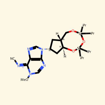 COn1cnc2c(ncn2[C@@H]2C[C@@H]3CO[Si](C(C)C)(C(C)C)O[Si](C(C)C)(C(C)C)O[C@H]3C2)/c1=N\C#N